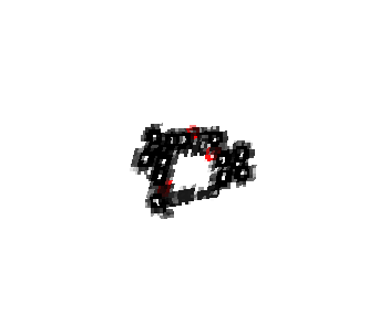 COc1ccc(C2(c3ccc(Oc4cccc(CCOc5ccc6cc(C7(c8ccc9cc(Oc%10cccc(C)c%10C#N)ccc9c8)c8ccccc8-c8ccccc87)ccc6c5)c4C#N)cc3)c3ccccc3-c3ccccc32)cc1